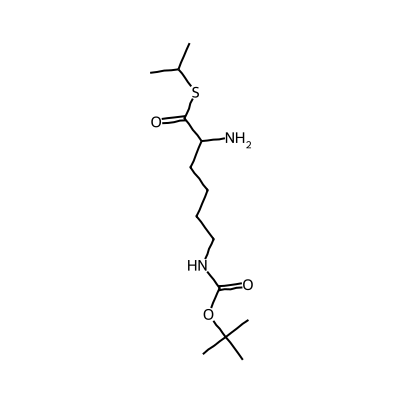 CC(C)SC(=O)C(N)CCCCNC(=O)OC(C)(C)C